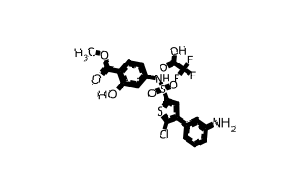 COC(=O)c1ccc(NS(=O)(=O)c2cc(-c3cccc(N)c3)c(Cl)s2)cc1O.O=C(O)C(F)(F)F